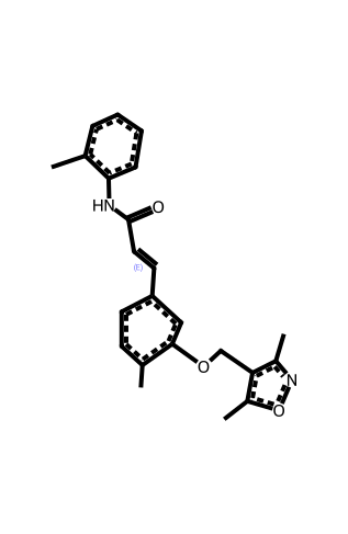 Cc1ccccc1NC(=O)/C=C/c1ccc(C)c(OCc2c(C)noc2C)c1